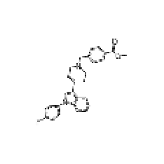 COC(=O)c1ccc(CN2CC=C(c3cn(-c4ccc(F)cc4)c4ccccc34)CC2)cc1